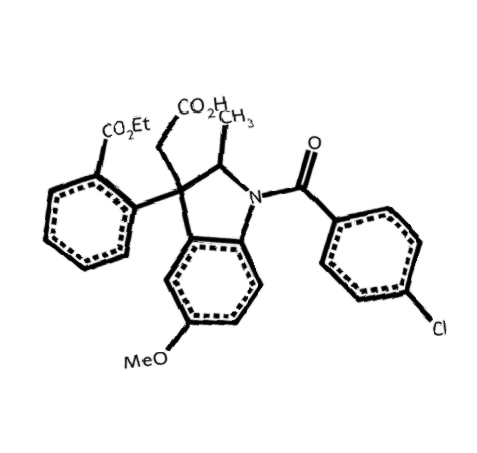 CCOC(=O)c1ccccc1C1(CC(=O)O)c2cc(OC)ccc2N(C(=O)c2ccc(Cl)cc2)C1C